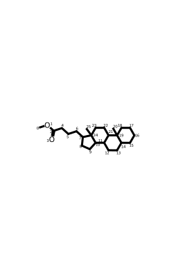 COC(=O)CCCC1CCC2C3CCC4CCCCC4(C)C3CCC12C